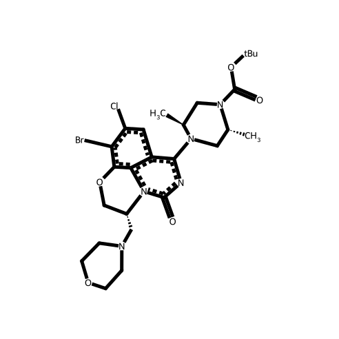 C[C@@H]1CN(c2nc(=O)n3c4c(c(Br)c(Cl)cc24)OC[C@H]3CN2CCOCC2)[C@@H](C)CN1C(=O)OC(C)(C)C